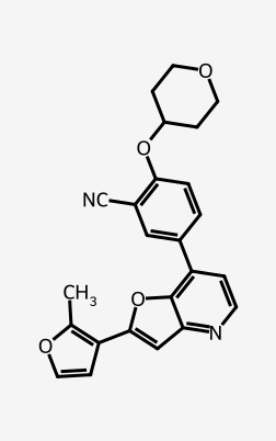 Cc1occc1-c1cc2nccc(-c3ccc(OC4CCOCC4)c(C#N)c3)c2o1